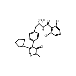 Cn1ncc(N2CCCC2)c(-c2ccc(C[C@H](NC(=O)c3c(Cl)cccc3Cl)C(=O)O)cc2)c1=O